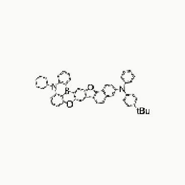 CC(C)(C)c1ccc(N(c2ccccc2)c2ccc3c(ccc4c5cc6c(cc5oc34)B3c4ccccc4N(c4ccccc4)c4cccc(c43)O6)c2)cc1